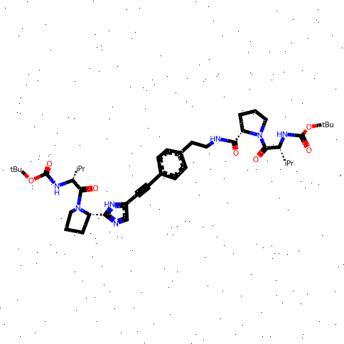 CC(C)[C@@H](NC(=O)OC(C)(C)C)C(=O)N1CCC[C@H]1C(=O)NCCc1ccc(C#Cc2cnc([C@@H]3CCCN3C(=O)[C@H](NC(=O)OC(C)(C)C)C(C)C)[nH]2)cc1